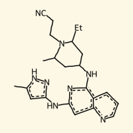 CCC1CC(Nc2nc(Nc3cc(C)[nH]n3)cc3ncccc23)CC(C)N1CCC#N